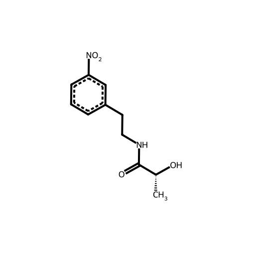 C[C@@H](O)C(=O)NCCc1cccc([N+](=O)[O-])c1